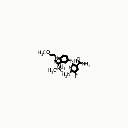 COCCn1nc(N(C)C)c2cc(Nc3nc(N)c(F)cc3C(N)=O)ccc21